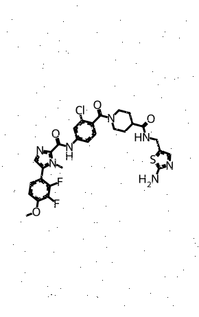 COc1ccc(-c2cnc(C(=O)Nc3ccc(C(=O)N4CCC(C(=O)NCc5cnc(N)s5)CC4)c(Cl)c3)n2C)c(F)c1F